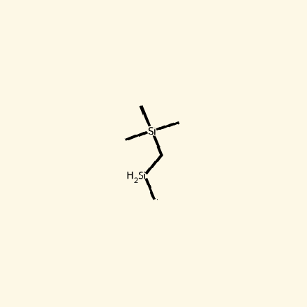 [CH2][SiH2]C[Si](C)(C)C